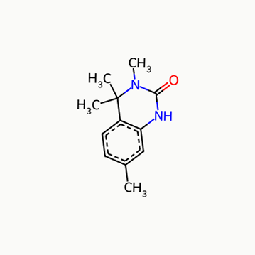 Cc1ccc2c(c1)NC(=O)N(C)C2(C)C